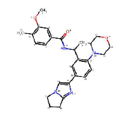 COc1cc(C(=O)NC(C)c2cc(-c3cn4c(n3)CCC4)ccc2N2CCOCC2)ccc1C